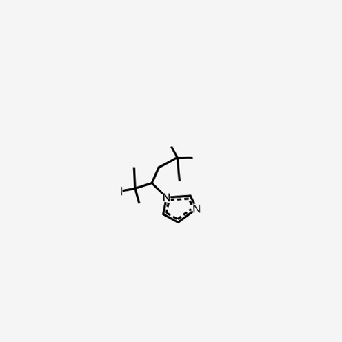 CC(C)(C)CC(n1ccnc1)C(C)(C)I